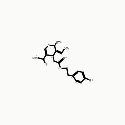 C/C=C1\[C@H](OC)OC=C(C(O)OC)[C@@H]1CC(=O)OCCc1ccc(O)cc1